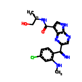 CNc1cc(Cl)ccc1C(=N)c1cnc2[nH]cc(C(=O)N[C@H](C)CO)c2n1